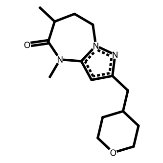 CC1CCn2nc(CC3CCOCC3)cc2N(C)C1=O